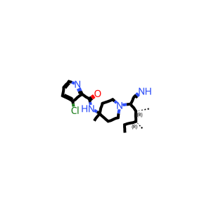 CC[C@@H](C)[C@@H](C)C(C=N)N1CCC(C)(NC(=O)c2ncccc2Cl)CC1